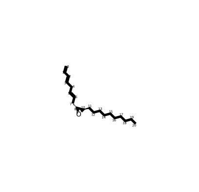 C=CC=CCC=CC[C@H]1O[C@@H]1CCCCCCCCCC